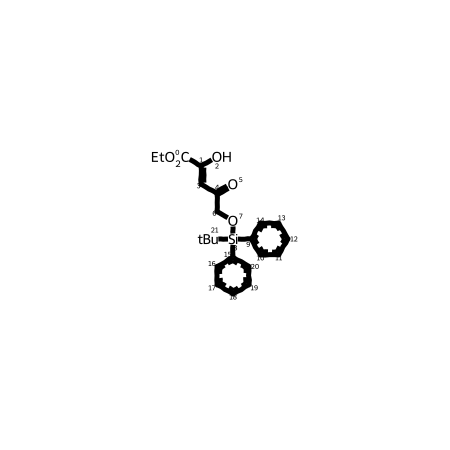 CCOC(=O)C(O)=CC(=O)CO[Si](c1ccccc1)(c1ccccc1)C(C)(C)C